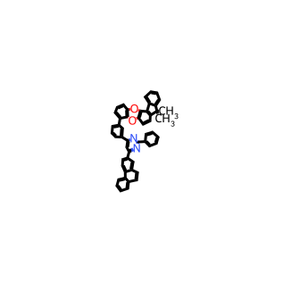 CC1(C)c2ccccc2-c2c1ccc1c2Oc2cccc(-c3cccc(-c4cc(-c5ccc6c(ccc7ccccc76)c5)nc(-c5ccccc5)n4)c3)c2O1